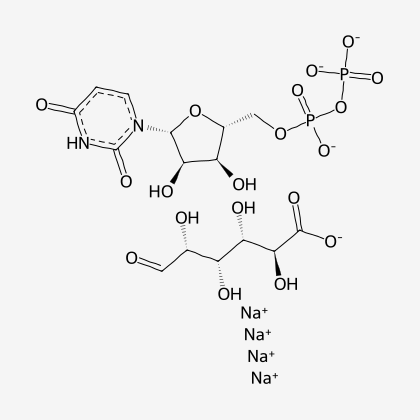 O=C[C@H](O)[C@@H](O)[C@H](O)[C@H](O)C(=O)[O-].O=c1ccn([C@@H]2O[C@H](COP(=O)([O-])OP(=O)([O-])[O-])[C@@H](O)[C@H]2O)c(=O)[nH]1.[Na+].[Na+].[Na+].[Na+]